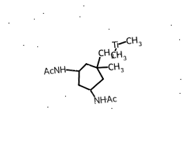 CC(=O)NC1CC(NC(C)=O)CC(C)(C)C1.[CH3][Ti][CH3]